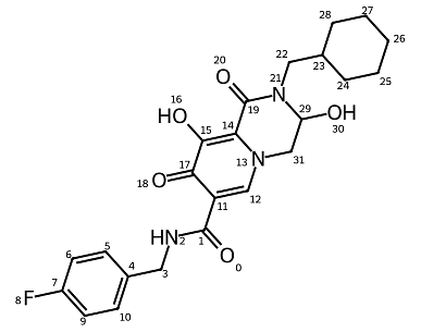 O=C(NCc1ccc(F)cc1)c1cn2c(c(O)c1=O)C(=O)N(CC1CCCCC1)C(O)C2